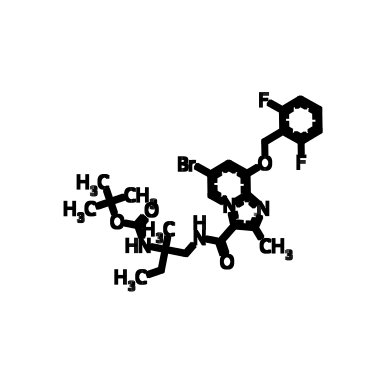 CCC(C)(CNC(=O)c1c(C)nc2c(OCc3c(F)cccc3F)cc(Br)cn12)NC(=O)OC(C)(C)C